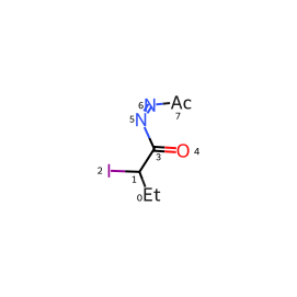 CCC(I)C(=O)/N=N\C(C)=O